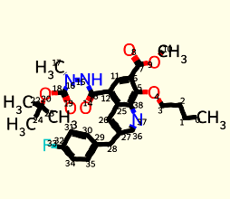 CCCCOc1c(C(=O)OC)cc(C(=O)NN(C)C(=O)OC(C)(C)C)c2cc(Cc3ccc(F)cc3)cnc12